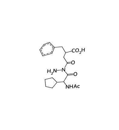 CC(=O)NC(C(=O)N(N)C(=O)CC(Cc1ccccc1)C(=O)O)C1CCCC1